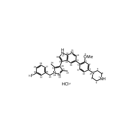 COc1cc(N2CCNCC2)ccc1-c1cnc2[nH]cc(-c3c(C)nn(Cc4cccc(F)c4)c3C)c2c1.Cl